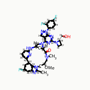 CO[C@H]1CN(C)C(=O)[C@@H]2C[C@@H](CN2c2nc(N3CC[C@H]3CO)nc3c2cnn3-c2ccc(F)cc2F)Nc2cccc(n2)-c2cc(F)cc3nc(C)n(c23)C1